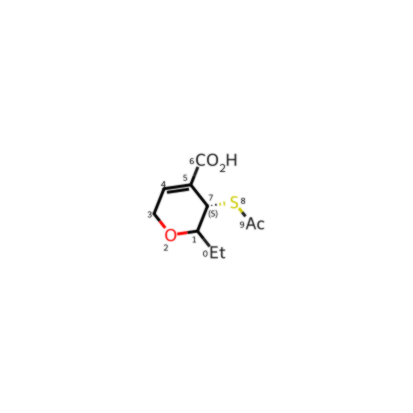 CCC1OCC=C(C(=O)O)[C@@H]1SC(C)=O